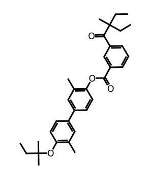 CCC(C)(C)Oc1ccc(-c2ccc(OC(=O)c3cccc(C(=O)C(C)(CC)CC)c3)c(C)c2)cc1C